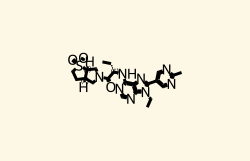 CC[C@H](Nc1ncnc2c1nc(-c1cnc(C)nc1)n2CC)C(=O)N1C[C@H]2CCS(=O)(=O)[C@@H]2C1